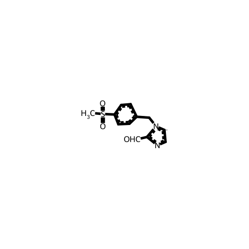 CS(=O)(=O)c1ccc(Cn2[c]cnc2C=O)cc1